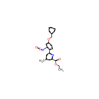 CCOC(=O)c1cc(C)cc(-c2ccc(OCc3ccccc3)cc2N=C=O)n1